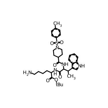 Cc1ccc(S(=O)(=O)N2CCC(C(=O)NC(C(=O)NC(CCCCN)C(=O)OC(C)(C)C)C(C)c3c[nH]c4ccccc34)CC2)cc1